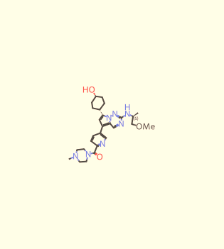 COC[C@H](C)Nc1ncc2c(-c3ccc(C(=O)N4CCN(C)CC4)nc3)cc([C@H]3CC[C@H](O)CC3)n2n1